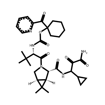 CC(C)(C)[C@H](NC(=O)OC1(C(=O)c2ccccn2)CCCCC1)C(=O)N1C[C@H]2[C@@H]([C@H]1C(=O)NC(C(=O)C(N)=O)C1CC1)C2(C)C